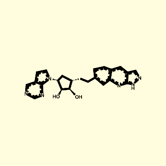 O[C@@H]1[C@@H](CCc2ccc3cc4cn[nH]c4nc3c2)C[C@@H](n2ccc3cncnc32)[C@@H]1O